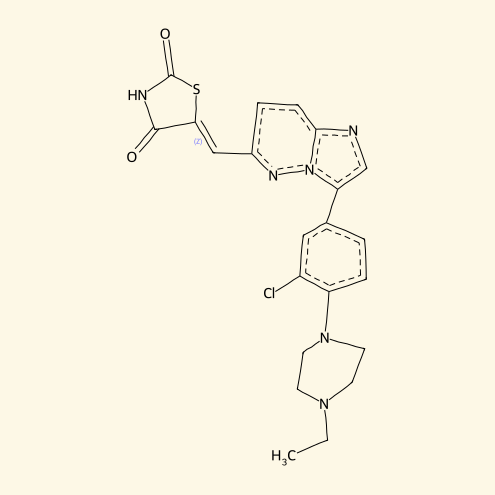 CCN1CCN(c2ccc(-c3cnc4ccc(/C=C5\SC(=O)NC5=O)nn34)cc2Cl)CC1